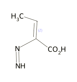 C/C=C(\N=N)C(=O)O